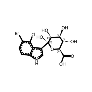 O=C(O)[C@H]1O[C@@](O)(c2c[nH]c3ccc(Br)c(Cl)c23)[C@H](O)[C@@H](O)[C@@H]1O